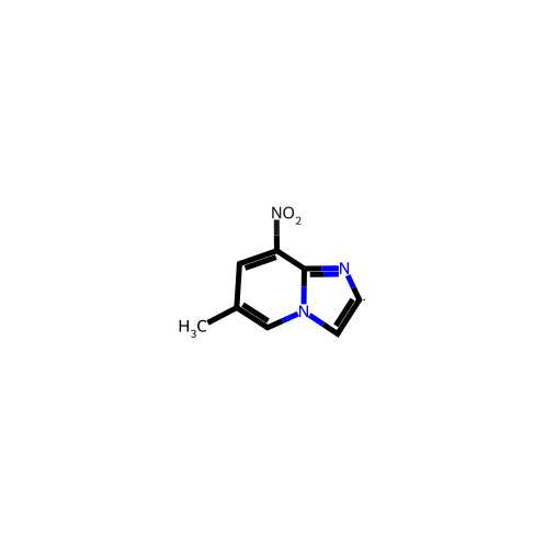 Cc1cc([N+](=O)[O-])c2n[c]cn2c1